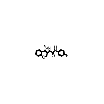 Cn1nc(C(=O)Nc2ccc(F)cc2)c2c1-c1ccccc1OC2